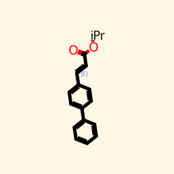 CC(C)OC(=O)/C=C/c1ccc(-c2ccccc2)cc1